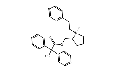 C[N@+]1(CCc2ccncn2)CCCC1COC(=O)C(O)(c1ccccc1)c1ccccc1